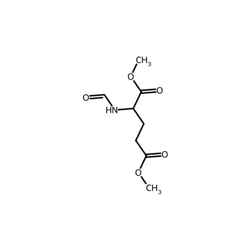 COC(=O)CCC(NC=O)C(=O)OC